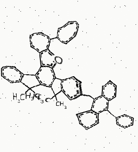 CC1(C)c2cc(-c3c4ccccc4c(-c4ccccc4)c4ccccc34)ccc2-c2c1c1c(c3c2oc2c(-c4ccccc4)cccc23)-c2ccccc2C1(C)C